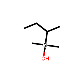 CCC(C)[Si](C)(C)O